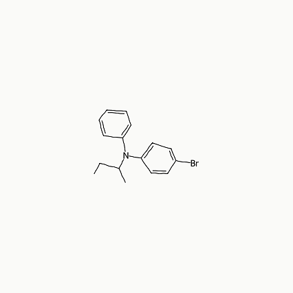 CCC(C)N(c1ccccc1)c1ccc(Br)cc1